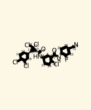 CN(C(=O)c1cc(NC(=O)[C@@H]2[C@@H](c3ccc(Cl)c(Cl)c3)C2(Cl)Cl)ccc1Cl)c1ccc(C#N)cc1F